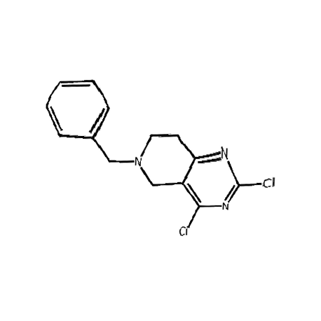 Clc1nc(Cl)c2c(n1)CCN(Cc1ccccc1)C2